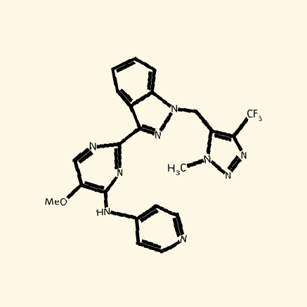 COc1cnc(-c2nn(Cc3c(C(F)(F)F)nnn3C)c3ccccc23)nc1Nc1ccncc1